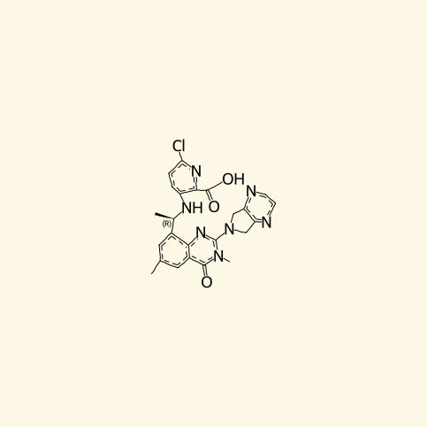 Cc1cc([C@@H](C)Nc2ccc(Cl)nc2C(=O)O)c2nc(N3Cc4nccnc4C3)n(C)c(=O)c2c1